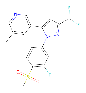 Cc1cncc(-c2cc(C(F)F)nn2-c2ccc(S(C)(=O)=O)c(F)c2)c1